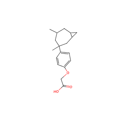 CC1CC2CC2CC(C)(c2ccc(OCC(=O)O)cc2)C1